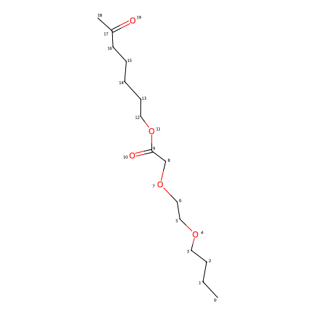 CCCCOCCOCC(=O)OCCCCCC(C)=O